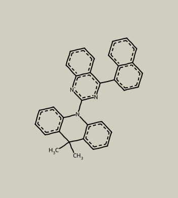 CC1(C)c2ccccc2N(c2nc(-c3cccc4ccccc34)c3ccccc3n2)c2ccccc21